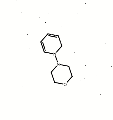 C1=CCN(N2CCOCC2)C=C1